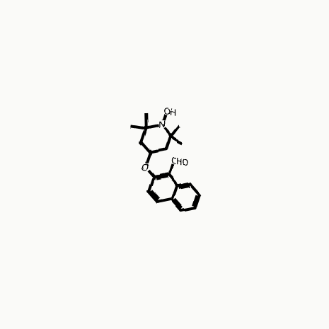 CC1(C)CC(Oc2ccc3ccccc3c2C=O)CC(C)(C)N1O